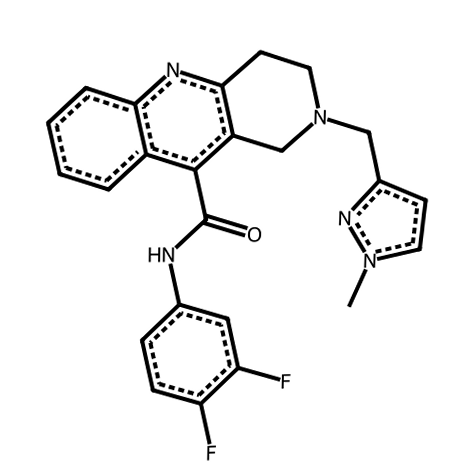 Cn1ccc(CN2CCc3nc4ccccc4c(C(=O)Nc4ccc(F)c(F)c4)c3C2)n1